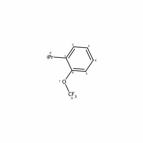 C[C](C)c1ccccc1OC(F)(F)F